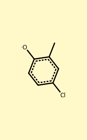 Cc1cc(Cl)ccc1[O]